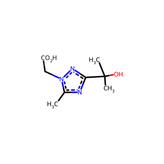 Cc1nc(C(C)(C)O)nn1CC(=O)O